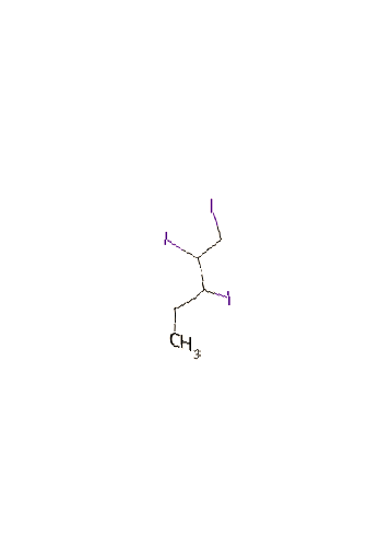 CCC(I)C(I)CI